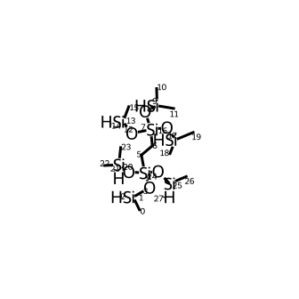 C[SiH](C)O[Si](CC[Si](O[SiH](C)C)(O[SiH](C)C)O[SiH](C)C)(O[SiH](C)C)O[SiH](C)C